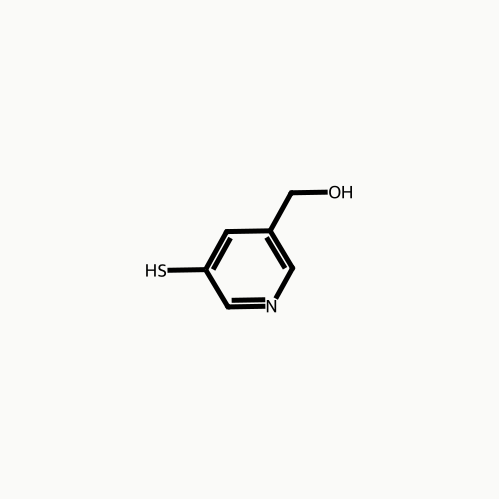 OCc1cncc(S)c1